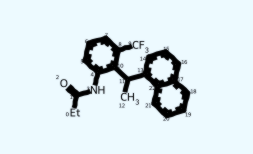 CCC(=O)Nc1cccc(C(F)(F)F)c1C(C)c1cccc2ccccc12